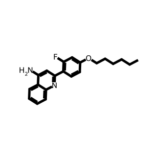 CCCCCCOc1ccc(-c2cc(N)c3ccccc3n2)c(F)c1